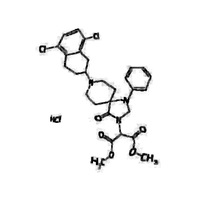 COC(=O)C(C(=O)OC)N1CN(c2ccccc2)C2(CCN(C3CCc4c(Cl)ccc(Cl)c4C3)CC2)C1=O.Cl